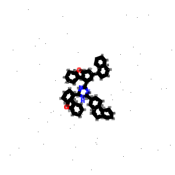 c1ccc2c(-c3cc(C4=NC(c5cccc6oc7ccccc7c56)NC(c5ccc6c(ccc7ccccc76)c5)=N4)c4c(c3)oc3ccccc34)cccc2c1